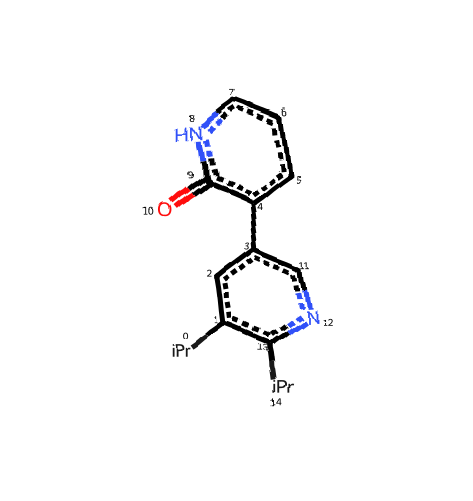 CC(C)c1cc(-c2ccc[nH]c2=O)cnc1C(C)C